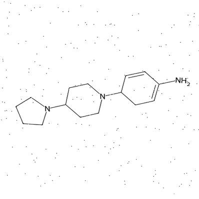 NC1=CCC(N2CCC(N3CCCC3)CC2)C=C1